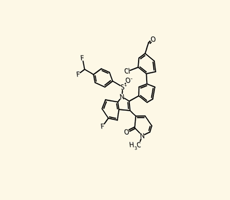 Cn1cccc(-c2c(-c3cccc(-c4ccc(C=O)cc4Cl)c3)n([S+]([O-])c3ccc(C(F)F)cc3)c3ccc(F)cc23)c1=O